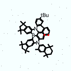 Cc1cc2c3c(c1)N(c1ccc(C(C)(C)C)cc1-c1ccccc1)c1cc4c(cc1B3c1cc3c(cc1N2c1cc2c(cc1C)C(C)(C)CCC2(C)C)C(C)(C)CC3(C)C)C(C)(C)CC4(C)C